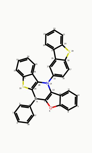 c1ccc(B2c3oc4ccccc4c3N(c3ccc4sc5ccccc5c4c3)c3c2sc2ccccc32)cc1